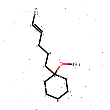 CC/C=C/CCCC1(OC(C)(C)C)CCCCC1